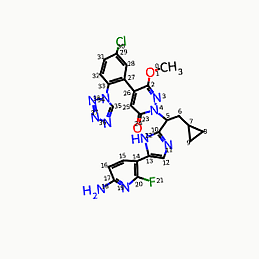 COc1nn(C(CC2CC2)c2ncc(-c3ccc(N)nc3F)[nH]2)c(=O)cc1-c1cc(Cl)ccc1-n1cnnn1